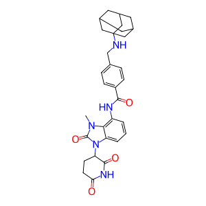 Cn1c(=O)n(C2CCC(=O)NC2=O)c2cccc(NC(=O)c3ccc(CNC45CC6CC(CC(C6)C4)C5)cc3)c21